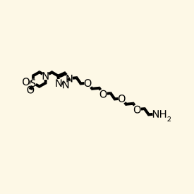 NCCOCCOCCOCCOCCn1cc(CN2CCS(=O)(=O)CC2)nn1